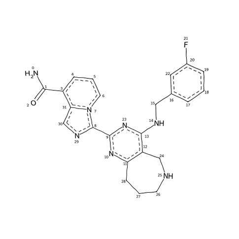 NC(=O)c1cccn2c(-c3nc4c(c(NCc5cccc(F)c5)n3)CNCCC4)ncc12